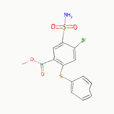 COC(=O)c1cc(S(N)(=O)=O)c(Br)cc1Sc1ccccc1